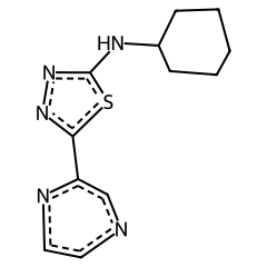 c1cnc(-c2nnc(NC3CCCCC3)s2)cn1